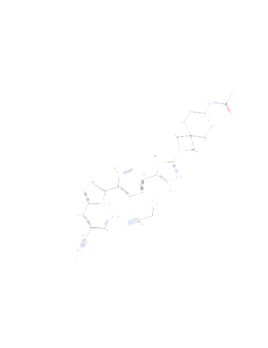 CC(=O)NC1CCC2(CC1)CN(c1nnc(-c3cnc(-c4ccc5cc(C#N)cnn45)cc3N[C@H](C)C#N)s1)C2